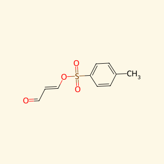 Cc1ccc(S(=O)(=O)OC=CC=O)cc1